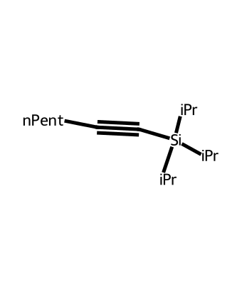 CCCCCC#C[Si](C(C)C)(C(C)C)C(C)C